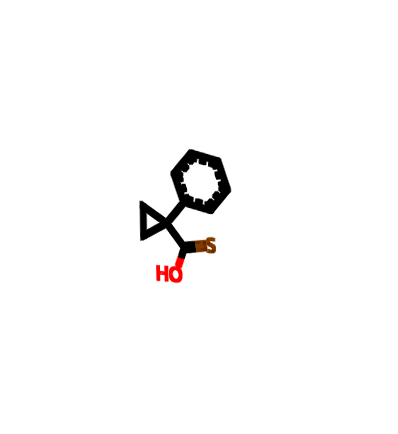 OC(=S)C1(c2ccccc2)CC1